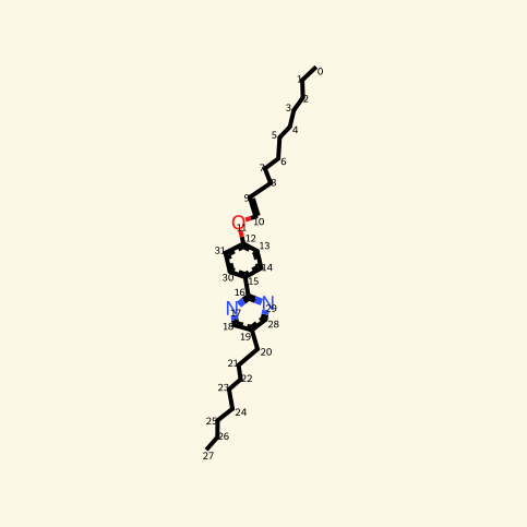 CCCCCCCCCC=COc1ccc(-c2ncc(CCCCCCCC)cn2)cc1